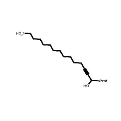 CCCCCC(O)C#CCCCCCCCCCCCS(=O)(=O)O